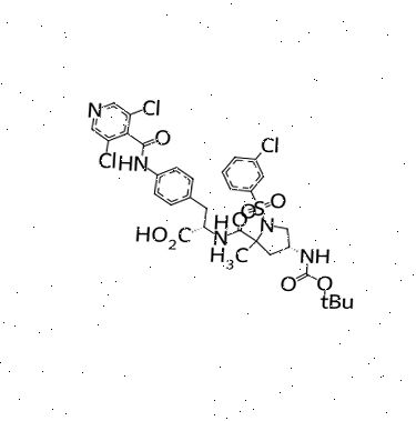 CC(C)(C)OC(=O)N[C@H]1CN(S(=O)(=O)c2cccc(Cl)c2)C(C)(C(=O)N[C@@H](Cc2ccc(NC(=O)c3c(Cl)cncc3Cl)cc2)C(=O)O)C1